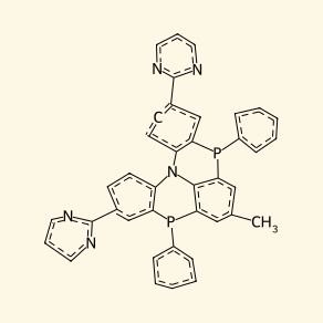 Cc1cc2c3c(c1)P(c1ccccc1)c1cc(-c4ncccn4)ccc1N3c1ccc(-c3ncccn3)cc1P2c1ccccc1